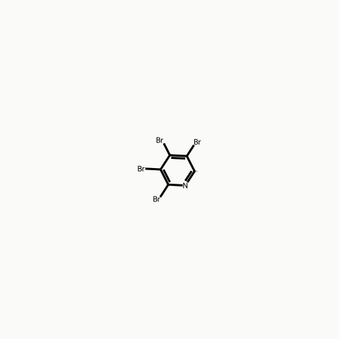 Brc1[c]nc(Br)c(Br)c1Br